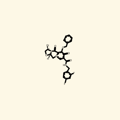 CC[C@@H]1CO[C@H]2Cn3cc(C(=O)NCc4ccc(F)cc4F)c(=O)c(OCc4ccccc4)c3C(=O)N12